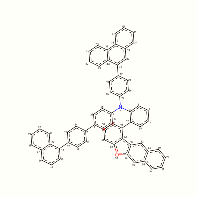 c1ccc(N(c2ccc(-c3ccc(-c4cccc5ccccc45)cc3)cc2)c2ccc(-c3cc4ccccc4c4ccccc34)cc2)c(-c2cccc3oc4cc5ccccc5cc4c23)c1